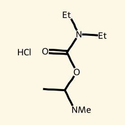 CCN(CC)C(=O)OC(C)NC.Cl